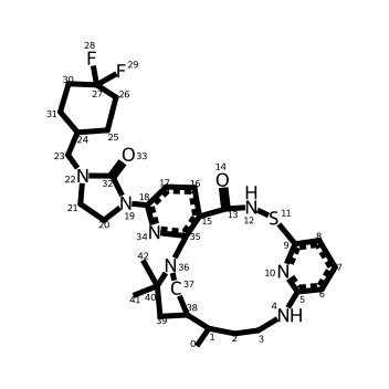 CC1CCNc2cccc(n2)SNC(=O)c2ccc(N3CCN(CC4CCC(F)(F)CC4)C3=O)nc2N2CC1CC2(C)C